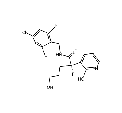 O=C(NCc1c(F)cc(Cl)cc1F)[C@](F)(CCCO)c1cccnc1O